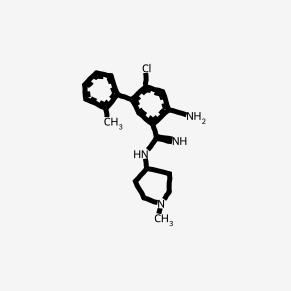 Cc1ccccc1-c1cc(C(=N)NC2CCN(C)CC2)c(N)cc1Cl